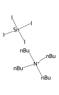 CCCC[N+](CCCC)(CCCC)CCCC.[I][Sn]([I])([I])[I]